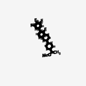 COC(C)C1CCC(C2CCc3c(ccc(-c4cc(F)c(F)c(F)c4)c3F)C2)CC1